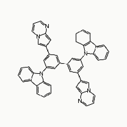 C1=Cc2c(n(-c3cc(-c4cc(-c5cc6ncccn6c5)cc(-n5c6ccccc6c6ccccc65)c4)cc(-c4cc5ncccn5c4)c3)c3ccccc23)CC1